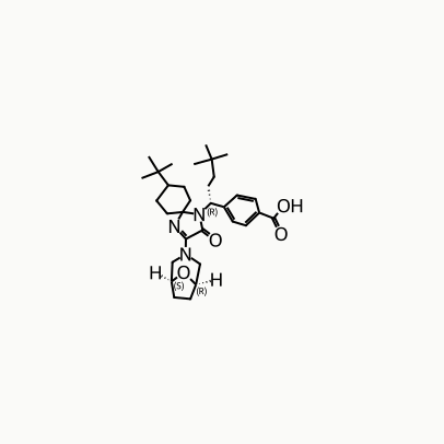 CC(C)(C)CC[C@H](c1ccc(C(=O)O)cc1)N1C(=O)C(N2C[C@H]3CC[C@@H](C2)O3)=NC12CCC(C(C)(C)C)CC2